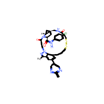 CC(=O)c1nn2c3c(cc(-c4cnc(C)nc4)cc13)CCCSSCCC(=O)NC[C@@]13C[C@@H](C(=O)Nc4ccc(Cl)cc4)N(C(=O)C2)[C@@H]1C3